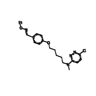 CCON=Cc1ccc(OCCCCCN(C)c2ccc(Cl)nn2)cc1